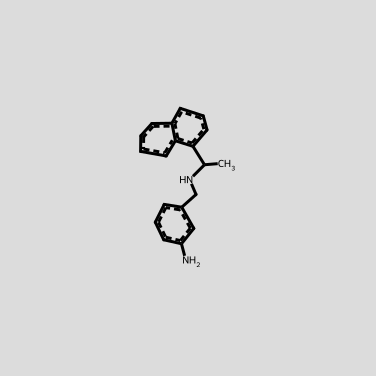 CC(NCc1cccc(N)c1)c1cccc2ccccc12